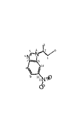 CCC(C)n1cnc2ccc([N+](=O)[O-])cc21